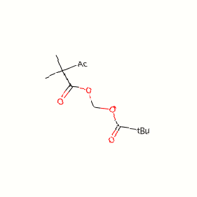 CC(=O)C(C)(C)C(=O)OCOC(=O)C(C)(C)C